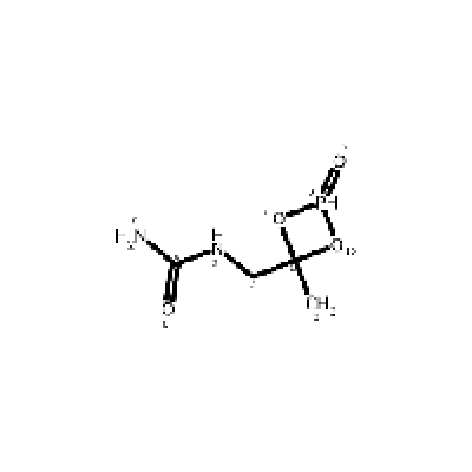 CC1(CNC(N)=O)O[PH](=O)O1